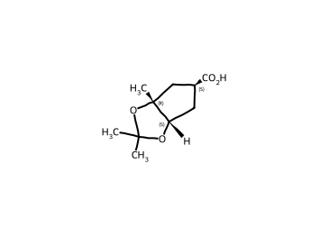 CC1(C)O[C@H]2C[C@H](C(=O)O)C[C@@]2(C)O1